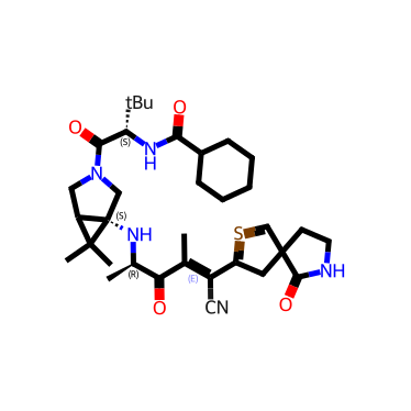 C/C(C(=O)[C@@H](C)N[C@@]12CN(C(=O)[C@@H](NC(=O)C3CCCCC3)C(C)(C)C)CC1C2(C)C)=C(/C#N)C1=S=CC2(CCNC2=O)C1